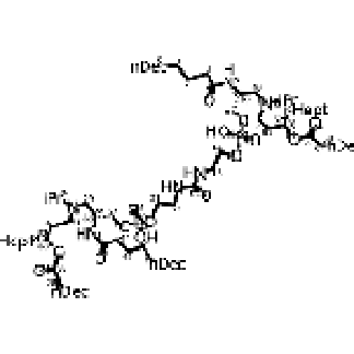 CCCCCCCCCCCCCC(=O)N[C@@H](COP(=O)(O)OCCNC(=O)NCCOP(=O)(O)OC[C@@H](CN(CC[C@@H](CCCCCCC)OC(=O)CCCCCCCCCCC)C(C)C)NC(=O)CCCCCCCCCCCCC)CN(CC[C@@H](CCCCCCC)OC(=O)CCCCCCCCCCC)C(C)C